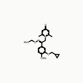 COc1ccc(C(Cn2c(C)cc(=O)cc2C)=NOCSC)cc1OCC1CC1